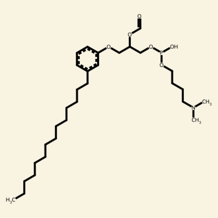 CCCCCCCCCCCCCCc1cccc(OCC(COP(O)OCCCCN(C)C)OC=O)c1